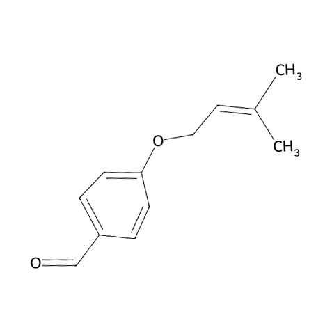 CC(C)=CCOc1ccc(C=O)cc1